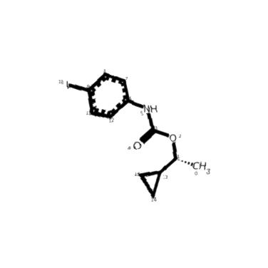 C[C@@H](OC(=O)Nc1ccc(I)cc1)C1CC1